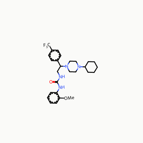 COc1ccccc1NC(=O)NCC(c1ccc(C(F)(F)F)cc1)N1CCN(C2CCCCC2)CC1